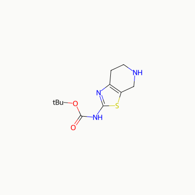 CC(C)(C)OC(=O)Nc1nc2c(s1)CNCC2